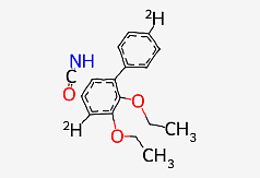 N=C=O.[2H]c1ccc(-c2ccc([2H])c(OCC)c2OCC)cc1